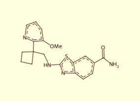 COc1cccnc1C1(CNc2nc3ccc(C(N)=O)cc3s2)CCC1